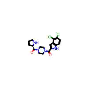 O=C(c1cc2c(Cl)c(Cl)ccc2[nH]1)N1CCN(C(=O)[C@H]2CCCN2)CC1